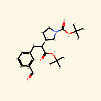 CC(C)(C)OC(=O)C(Cc1cccc(C=O)c1)[C@H]1CCN(C(=O)OC(C)(C)C)C1